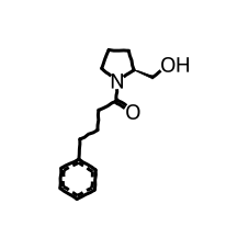 O=C(CCCc1ccccc1)N1CCC[C@H]1CO